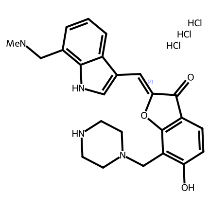 CNCc1cccc2c(/C=C3\Oc4c(ccc(O)c4CN4CCNCC4)C3=O)c[nH]c12.Cl.Cl.Cl